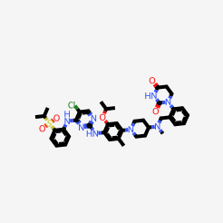 Cc1cc(Nc2ncc(Cl)c(Nc3ccccc3S(=O)(=O)C(C)C)n2)c(OC(C)C)cc1N1CCC(N(C)Cc2ccccc2N2CCC(=O)NC2=O)CC1